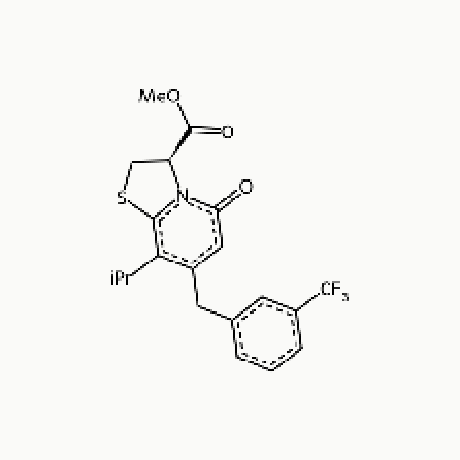 COC(=O)[C@@H]1CSc2c(C(C)C)c(Cc3cccc(C(F)(F)F)c3)cc(=O)n21